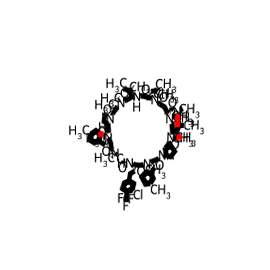 CC[C@H](C)[C@@H]1NC(=O)[C@H](CC(C)C)N(C)C(=O)C[C@@H](C(=O)N(C)C)N(C)C(=O)[C@H]([C@@H](C)CC)N(C)C(=O)C2(CCCC2)NC(=O)[C@H](Cc2cccc(C)c2)N(C)C(=O)[C@H](CCc2ccc(C(F)(F)F)c(Cl)c2)NC(=O)CN(C)C(=O)[C@H](Cc2ccc(C)cc2)N(C)C(=O)[C@@H]2CCN2C(=O)[C@H](C)N(C)C1=O